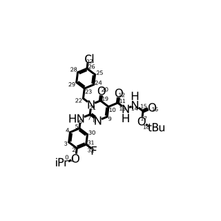 CC(C)Oc1ccc(Nc2ncc(C(=O)NNC(=O)OC(C)(C)C)c(=O)n2Cc2ccc(Cl)cc2)cc1F